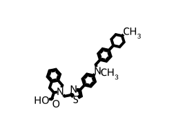 CC1CCC(c2ccc(CN(C)c3ccc(-c4csc(CN5Cc6ccccc6CC5C(=O)O)n4)cc3)cc2)CC1